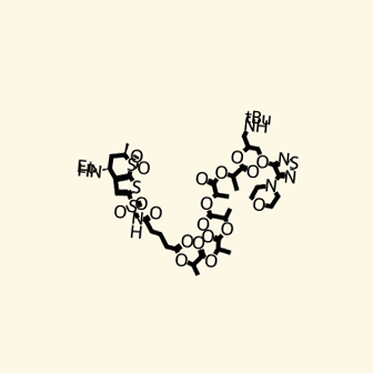 CCN[C@@H]1C[C@@H](C)S(=O)(=O)c2sc(S(=O)(=O)NC(=O)CCCC(=O)OC(C)C(=O)OC(C)C(=O)OC(C)C(=O)OC(C)C(=O)OC(C)C(=O)OC(CNC(C)(C)C)COc3nsnc3N3CCOCC3)cc21